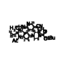 CC(=O)N1c2ccc(N3CCN(C(=O)OC(C)(C)C)[C@@H](C)C3)cc2C(Nc2ccc(C#N)cn2)[C@@H](C)[C@@H]1C1CC1